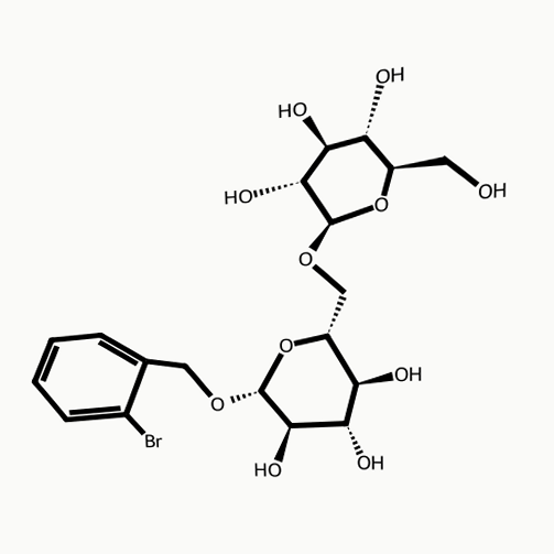 OC[C@H]1O[C@@H](OC[C@H]2O[C@@H](OCc3ccccc3Br)[C@H](O)[C@@H](O)[C@@H]2O)[C@H](O)[C@@H](O)[C@@H]1O